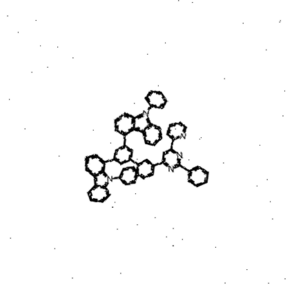 c1ccc(-c2nc(-c3cccc(-c4cc(-c5cccc6c5c5ccccc5n6-c5ccccc5)cc(-c5cccc6c7ccccc7n(-c7ccccc7)c56)c4)c3)cc(-c3ccccn3)n2)cc1